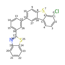 Clc1cccc2c1sc1ccc(-c3cccc(-c4nc5ccccc5s4)c3)cc12